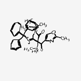 Cc1nc(C(=O)C2([SiH](C)C)C(=O)N(C(C)(C)C)C2SC(c2ccccc2)(c2ccccc2)c2ccccc2)co1